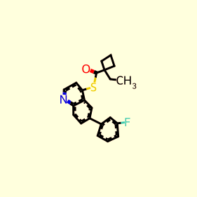 CCC1(C(=O)Sc2ccnc3ccc(-c4cccc(F)c4)cc23)CCC1